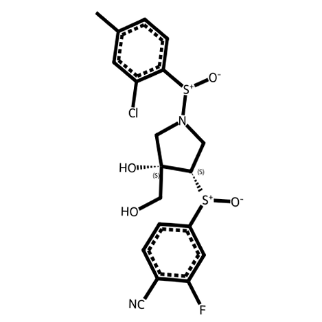 Cc1ccc([S+]([O-])N2C[C@H]([S+]([O-])c3ccc(C#N)c(F)c3)[C@@](O)(CO)C2)c(Cl)c1